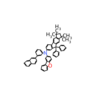 CC1(C)CC(C)(C)c2cc3c(cc21)-c1ccc(N(c2cccc(-c4ccc5ccccc5c4)c2)c2ccc4oc5ccccc5c4c2)cc1C3(c1ccccc1)c1ccccc1